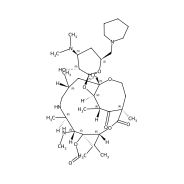 CC[C@H]1OC(=O)[C@]2(C)CCO[C@@](C)(C[C@@H](C)CN[C@H](C)[C@@H](NC)[C@]1(CC)OC=O)[C@H](O[C@@H]1O[C@H](CN3CCCCC3)C[C@H](N(C)C)[C@H]1O)[C@@H](C)C2=O